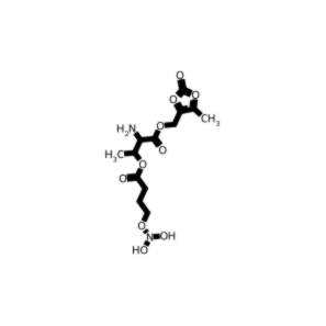 Cc1oc(=O)oc1COC(=O)C(N)C(C)OC(=O)CCCON(O)O